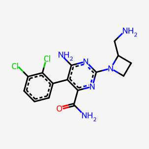 NCC1CCN1c1nc(N)c(-c2cccc(Cl)c2Cl)c(C(N)=O)n1